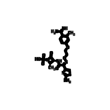 Cc1cc(OCCO/N=C(\C(=O)N[C@@H]2C(=O)N(S(=O)(=O)O)[C@H]2C)c2csc(N)n2)ccc1C(=N)N